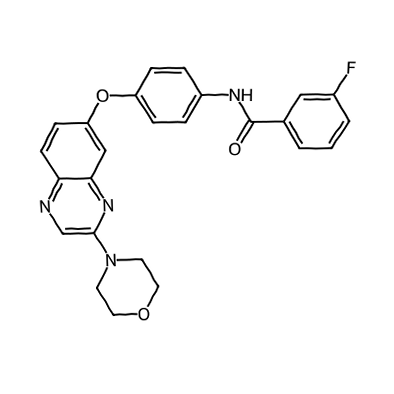 O=C(Nc1ccc(Oc2ccc3ncc(N4CCOCC4)nc3c2)cc1)c1cccc(F)c1